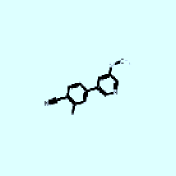 COc1cncc(-c2ccc(C#N)c(F)c2)c1